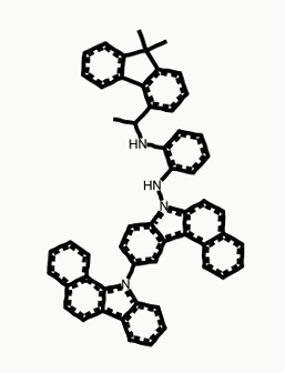 CC(Nc1ccccc1Nn1c2ccc(-n3c4ccccc4c4ccc5ccccc5c43)cc2c2c3ccccc3ccc21)c1cccc2c1-c1ccccc1C2(C)C